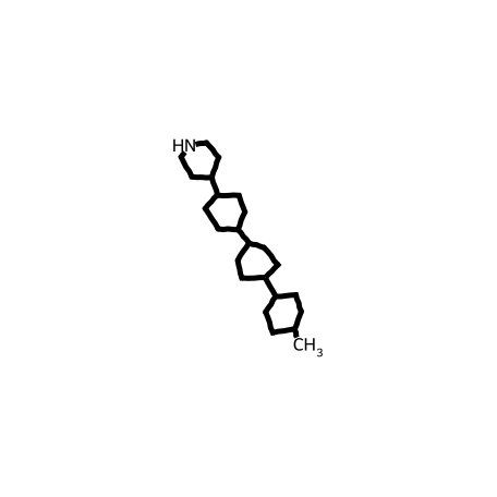 CC1CCC(C2CCC(C3CCC(C4CCNCC4)CC3)CC2)CC1